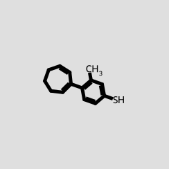 Cc1cc(S)ccc1C1=CCCCC=C1